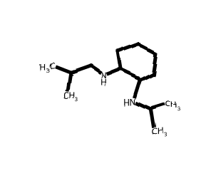 CC(C)CNC1CCCCC1NC(C)C